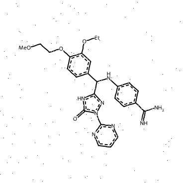 CCOc1cc(C(Nc2ccc(C(=N)N)cc2)c2nn(-c3ncccn3)c(=O)[nH]2)ccc1OCCOC